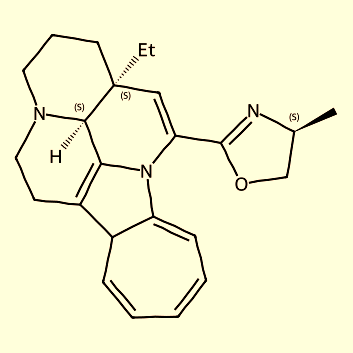 CC[C@]12C=C(C3=N[C@@H](C)CO3)N3C4=CC=CC=CC4C4=C3[C@H]1N(CCC2)CC4